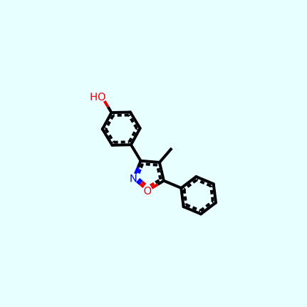 Cc1c(-c2ccc(O)cc2)noc1-c1ccccc1